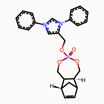 O=P1(OCc2cn(-c3ccccc3)c[n+]2-c2ccccc2)OCC2[C@@H](CO1)C1C=C[C@H]2C1